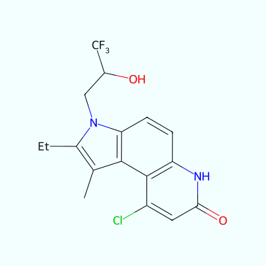 CCc1c(C)c2c3c(Cl)cc(=O)[nH]c3ccc2n1CC(O)C(F)(F)F